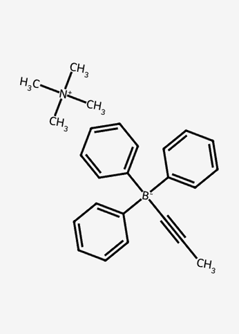 CC#C[B-](c1ccccc1)(c1ccccc1)c1ccccc1.C[N+](C)(C)C